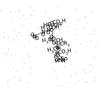 Cc1c(-c2ccc(N3CCc4cccc(C(=O)Nc5nc6ccccc6s5)c4C3)nc2C(=O)O)cnn1CC12CC3(C)CC(C)(C1)CC(OCCN(C)C(=O)OC/C=C/c1ccc(O[C@@H]4[C@@H](O)[C@H](O)[C@@H](C(=O)O)O[C@H]4O)c(NC(=O)CCNC(=O)CCCCCN4C(=O)C=CC4=O)c1)(C3)C2